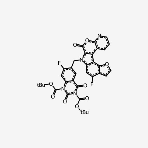 CC(C)(C)OC(=O)n1c(=O)c2cc(Cn3c4cc(F)c5ccoc5c4c4c5cccnc5oc(=O)c43)c(F)cc2n(C(=O)OC(C)(C)C)c1=O